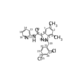 Cc1cc(C)c2c(c1)c(C(=O)Nc1ccccn1)nn2Cc1ccc(Cl)cc1Cl